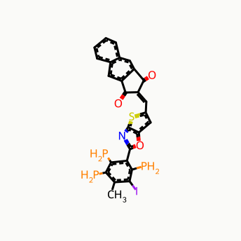 Cc1c(P)c(P)c(-c2nc3sc(C=C4C(=O)c5cc6ccccc6cc5C4=O)cc3o2)c(P)c1I